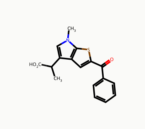 CC(C(=O)O)c1cn(C)c2sc(C(=O)c3ccccc3)cc12